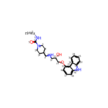 CCCCCCNC(=O)N1CCC(CNC[C@H](O)COc2cccc3[nH]c4ccccc4c23)CC1